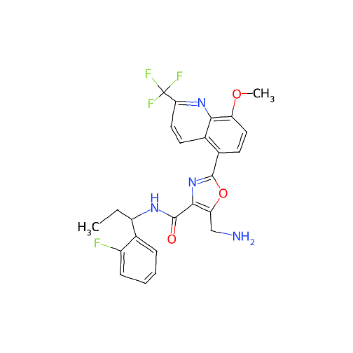 CCC(NC(=O)c1nc(-c2ccc(OC)c3nc(C(F)(F)F)ccc23)oc1CN)c1ccccc1F